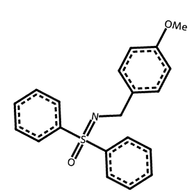 COc1ccc(CN=S(=O)(c2ccccc2)c2ccccc2)cc1